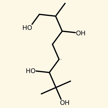 CC(CO)C(O)C[CH]C(O)C(C)(C)O